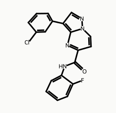 O=C(Nc1ccccc1F)c1ccn2ncc(-c3cccc(Cl)c3)c2n1